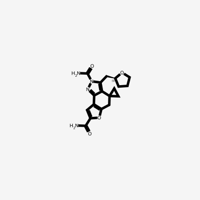 NC(=O)c1cc2c(o1)CC1(CC1)c1c-2nn(C(N)=O)c1C[C@@H]1CCCO1